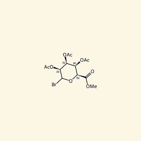 COC(=O)[C@H]1OC(Br)[C@@H](OC(C)=O)[C@@H](OC(C)=O)[C@H]1OC(C)=O